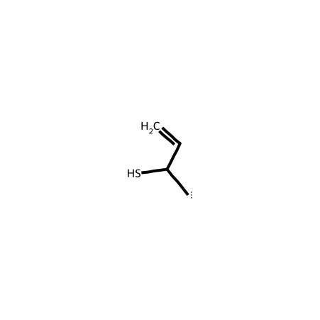 [C]C(S)C=C